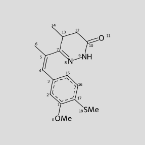 COc1cc(C=C(C)C2=NNC(=O)CC2C)ccc1SC